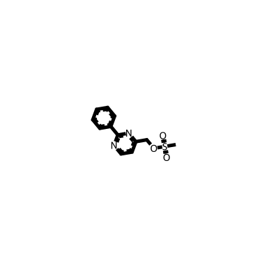 CS(=O)(=O)OCc1ccnc(-c2ccccc2)n1